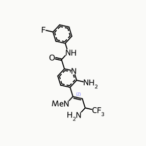 CN/C(=C\C(N)C(F)(F)F)c1ccc(C(=O)Nc2cccc(F)c2)nc1N